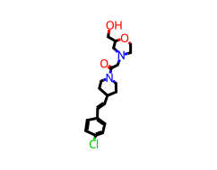 O=C(CN1CCOC(CO)C1)N1CCC(/C=C/c2ccc(Cl)cc2)CC1